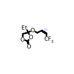 CCC1(OC/C=C\C(F)(F)F)COC(=O)O1